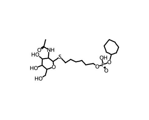 CC(=O)NC1C(SCCCCCCOP(=O)(O)OC2CCCCCC2)OC(CO)C(O)C1O